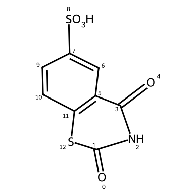 O=c1[nH]c(=O)c2cc(S(=O)(=O)O)ccc2s1